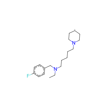 CCN(CCCCCN1CC[CH]CC1)Cc1ccc(F)cc1